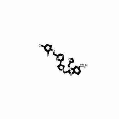 O=C(O)c1ccc2nc(CN3CC=C(c4cncc(COc5ccc(Cl)cc5F)n4)C3)n(CC3CCO3)c2c1